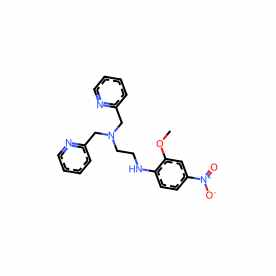 COc1cc([N+](=O)[O-])ccc1NCCN(Cc1ccccn1)Cc1ccccn1